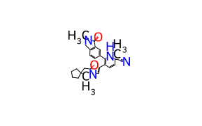 CN1Cc2ccc(C3=C(c4cnc(CC5(C)CCCC5)o4)C=CC(C)(C#N)N3)cc2C1=O